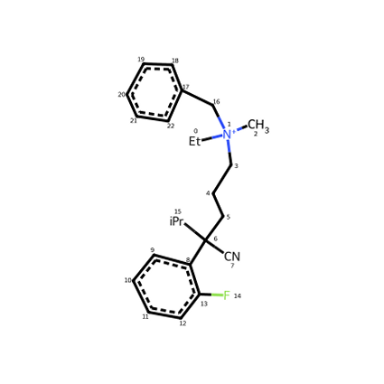 CC[N+](C)(CCCC(C#N)(c1ccccc1F)C(C)C)Cc1ccccc1